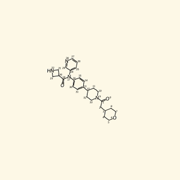 O=C(CC1CCOCC1)N1CCC(c2ccc(N(C(=O)C3CNC3)c3cccnc3)cc2)CC1